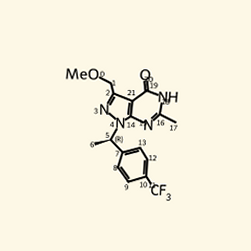 COCc1nn([C@H](C)c2ccc(C(F)(F)F)cc2)c2nc(C)[nH]c(=O)c12